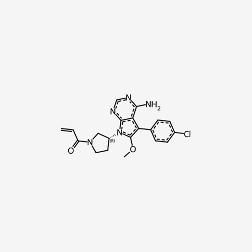 C=CC(=O)N1CC[C@@H](n2c(OC)c(-c3ccc(Cl)cc3)c3c(N)ncnc32)C1